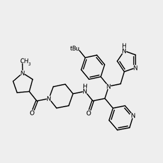 CN1CCC(C(=O)N2CCC(NC(=O)C(c3cccnc3)N(Cc3c[nH]cn3)c3ccc(C(C)(C)C)cc3)CC2)C1